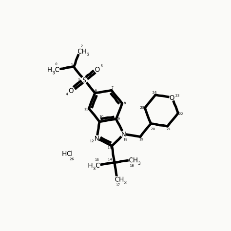 CC(C)S(=O)(=O)c1ccc2c(c1)nc(C(C)(C)C)n2CC1CCOCC1.Cl